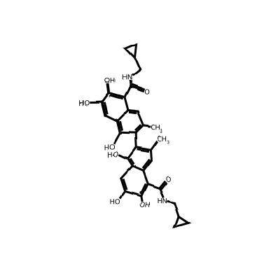 Cc1cc2c(C(=O)NCC3CC3)c(O)c(O)cc2c(O)c1-c1c(C)cc2c(C(=O)NCC3CC3)c(O)c(O)cc2c1O